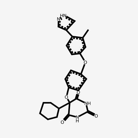 Cc1cc(Oc2ccc(OC3(C4CCCCC4)C(=O)NC(=O)NC3=O)cc2)ccc1-c1cn[nH]c1